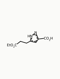 CCOC(=O)CCc1cc(C(=O)O)n[nH]1